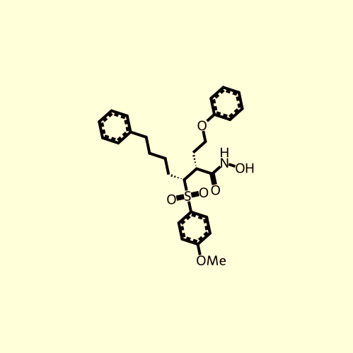 COc1ccc(S(=O)(=O)[C@H](CCCCc2ccccc2)[C@H](CCOc2ccccc2)C(=O)NO)cc1